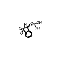 O=C1NS(=O)(=O)c2ccccc21.O=[Se](O)O